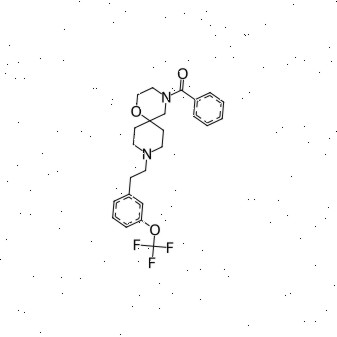 O=C(c1ccccc1)N1CCOC2(CCN(CCc3cccc(OC(F)(F)F)c3)CC2)C1